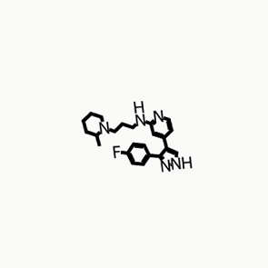 CC1CCCCN1CCCNc1cc(-c2c[nH]nc2-c2ccc(F)cc2)ccn1